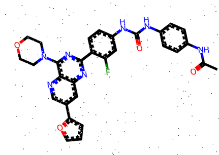 CC(=O)Nc1ccc(NC(=O)Nc2ccc(-c3nc(N4CCOCC4)c4ncc(-c5ccco5)cc4n3)c(F)c2)cc1